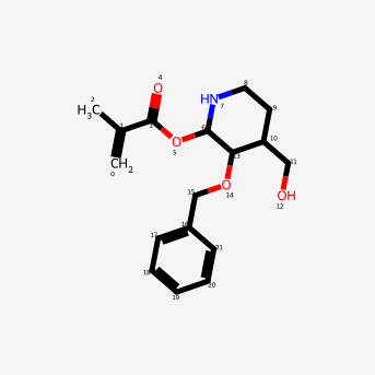 C=C(C)C(=O)OC1NCCC(CO)C1OCc1ccccc1